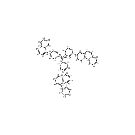 c1cc(-c2ccc3c(ccc4ccccc43)c2)cc(N(c2ccc(-c3cccc4ccccc34)cc2)c2ccc(-c3ccc4c5c(cccc35)-c3ccccc3-4)cc2)c1